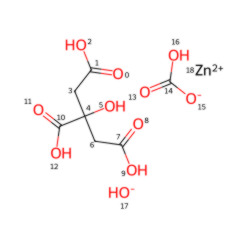 O=C(O)CC(O)(CC(=O)O)C(=O)O.O=C([O-])O.[OH-].[Zn+2]